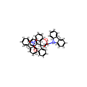 c1ccc2c(c1)Oc1ccccc1C21c2cccc(-n3c4ccccc4c4ccccc43)c2Oc2cccc(-n3c4ccccc4c4ccccc43)c21